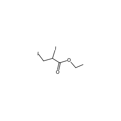 CCOC(=O)C(I)CI